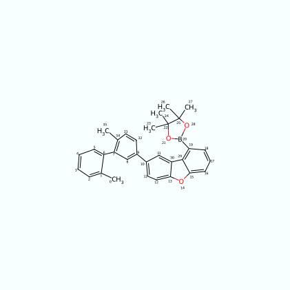 Cc1ccccc1-c1cc(-c2ccc3oc4cccc(B5OC(C)(C)C(C)(C)O5)c4c3c2)ccc1C